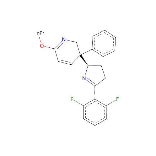 CCCOC1=NCC(c2ccccc2)([C@H]2CCC(c3c(F)cccc3F)=N2)C=C1